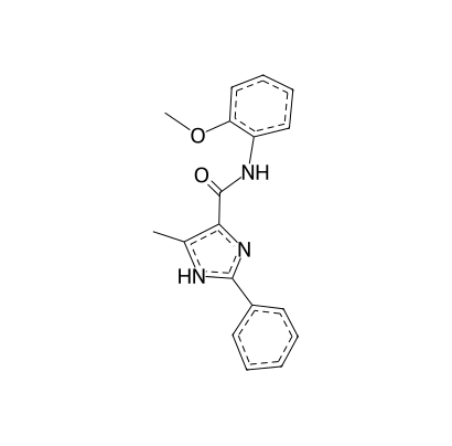 COc1ccccc1NC(=O)c1nc(-c2ccccc2)[nH]c1C